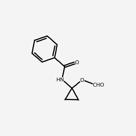 O=COC1(NC(=O)c2ccccc2)CC1